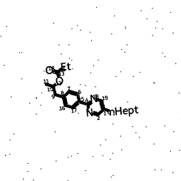 CCCCCCCc1cnc(-c2ccc(CC(C)OC(=O)CC)cc2)nc1